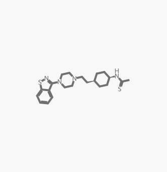 CC(=S)N[C@H]1CC[C@@H](CCN2CCN(c3nsc4ccccc34)CC2)CC1